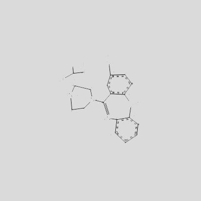 CCC(CC)(C(=O)O)[C@@H]1CN(C2=Nc3ccccc3Oc3ccc(Cl)cc32)CCN1